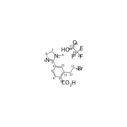 CN1CCN=C1c1ccc(C(=O)O)c(CCBr)c1.O=C(O)C(F)(F)F